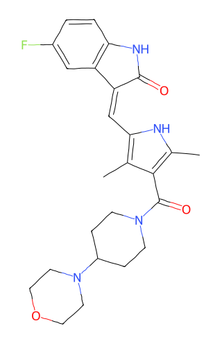 Cc1[nH]c(C=C2C(=O)Nc3ccc(F)cc32)c(C)c1C(=O)N1CCC(N2CCOCC2)CC1